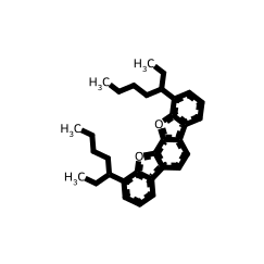 CCCCC(CC)c1cccc2c1oc1c2ccc2c3cccc(C(CC)CCCC)c3oc21